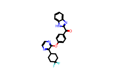 O=C(c1ccc(Oc2nccnc2C2CCC(F)(F)CC2)cc1)c1nc2ccccc2[nH]1